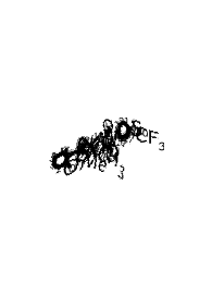 COc1ccccc1-c1nc(CN2C(=O)N(c3ccc(SC(F)(F)F)cc3)C(=O)C2(C)C)no1